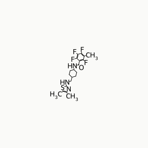 Cc1nc(NCC2CCC(NC(=O)c3c(F)c(C)c(F)c(F)c3F)CC2)sc1C